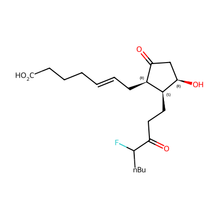 CCCCC(F)C(=O)CC[C@@H]1[C@H](O)CC(=O)[C@@H]1CC=CCCCC(=O)O